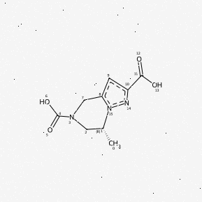 C[C@@H]1CN(C(=O)O)Cc2cc(C(=O)O)nn21